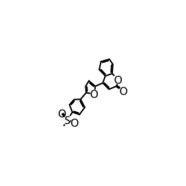 CS(=O)(=O)c1ccc(-c2ccc(-c3cc(=O)oc4ccccc34)o2)cc1